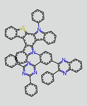 c1ccc(-c2nc(-c3ccccc3)nc(-c3cc(-c4nc5ccccc5nc4-c4ccccc4)ccc3-n3c4ccccc4c4c5c6ccccc6sc5c5c(c6ccccc6n5-c5ccccc5)c43)n2)cc1